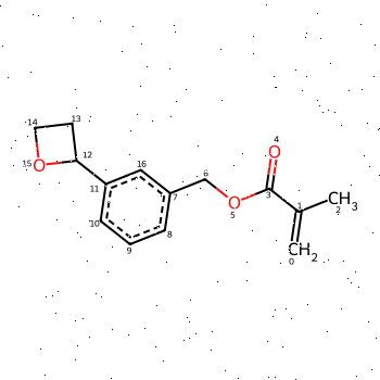 C=C(C)C(=O)OCc1cccc(C2CCO2)c1